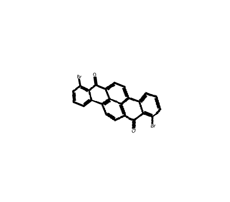 O=C1c2c(Br)cccc2-c2ccc3c4c(ccc1c24)-c1cccc(Br)c1C3=O